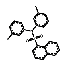 Cc1cccc(N(c2cccc(C)c2)S(=O)(=O)c2cccc3ccccc23)c1